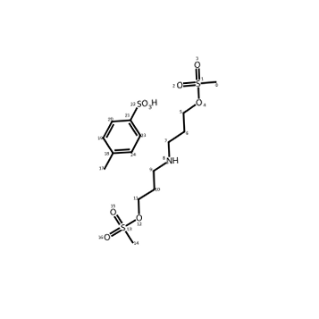 CS(=O)(=O)OCCCNCCCOS(C)(=O)=O.Cc1ccc(S(=O)(=O)O)cc1